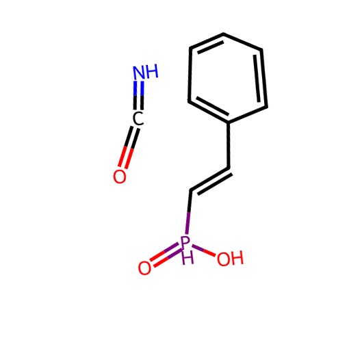 N=C=O.O=[PH](O)C=Cc1ccccc1